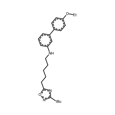 CCOc1ccc(-c2cccc(NCCCCCc3nc(C(C)(C)C)no3)c2)cc1